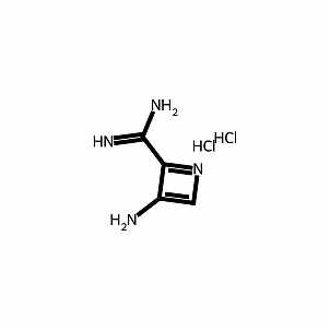 Cl.Cl.N=C(N)C1=NC=C1N